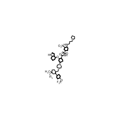 CC1(C)CCC(CN2CCN(c3ccc(C(=O)NS(=O)(=O)c4ccc(NCCCN5CCCC5)c([N+](=O)[O-])c4)c(Oc4cccc5[nH]ccc45)c3)CC2)=C(c2ccc(OC(F)(F)F)cc2)C1